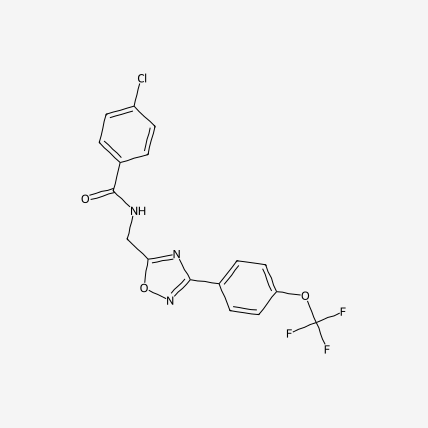 O=C(NCc1nc(-c2ccc(OC(F)(F)F)cc2)no1)c1ccc(Cl)cc1